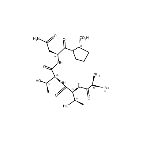 CC[C@H](C)[C@H](N)C(=O)N[C@H](C(=O)N[C@H](C(=O)N[C@@H](CC(N)=O)C(=O)N1CCC[C@H]1C(=O)O)[C@@H](C)O)[C@@H](C)O